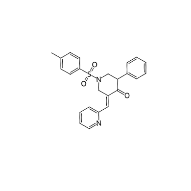 Cc1ccc(S(=O)(=O)N2CC(=Cc3ccccn3)C(=O)C(c3ccccc3)C2)cc1